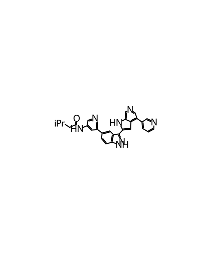 CC(C)CC(=O)Nc1cncc(-c2ccc3[nH]nc(-c4cc5c(-c6cccnc6)cncc5[nH]4)c3c2)c1